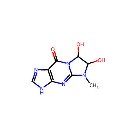 CN1c2nc3[nH]cnc3c(=O)n2C(O)C1O